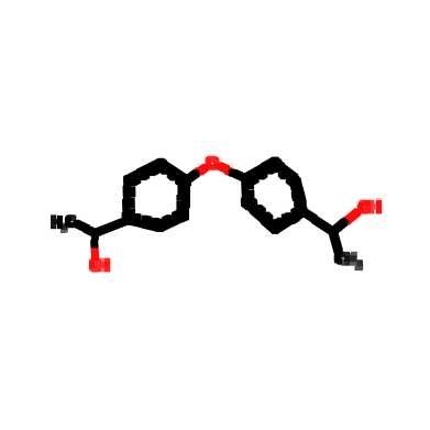 CC(O)c1ccc(Oc2ccc(C(C)O)cc2)cc1